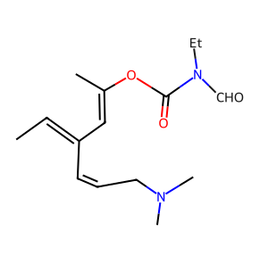 C/C=C(\C=C/CN(C)C)/C=C(\C)OC(=O)N(C=O)CC